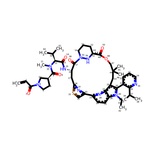 C=CC(=O)N1CC[C@H](C(=O)N(C)[C@H](C(=O)N[C@H]2Cc3nc(cs3)-c3ccc4c(n3)c(c(-c3cccnc3C(C)C)n4CC)CC(C)(C)COC(=O)[C@@H]3CCCN(N3)C2=O)C(C)C)C1